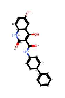 BC1=CC2C(O)=C(C(=O)NC3=CCC(c4ccccc4)C=C3)C(=O)NC2C=C1